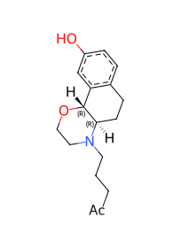 CC(=O)CCCN1CCO[C@@H]2c3cc(O)ccc3CC[C@H]21